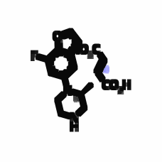 C[C@H]1CNCCN1c1cc(F)c2occc2c1.O=C(O)/C=C/C(=O)O